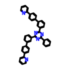 c1ccc(-c2nc(-c3cccc(-c4ccc(-c5ccccn5)cc4)c3)nc(-c3cccc(-c4ccc(-c5ccccn5)cc4)c3)n2)cc1